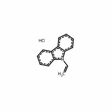 C=Cn1c2ccccc2c2ccccc21.Cl